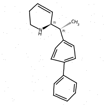 C[C@H](c1ccc(-c2ccccc2)cc1)[C@@H]1C=CCCN1